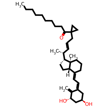 C=C1/C(=C\C=C2/CCC[C@]3(C)[C@@H]([C@H](C)/C=C/CC4(C(=O)CCCCCCCCC)CC4)CC[C@@H]23)C[C@@H](O)C[C@@H]1O